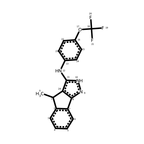 CC1c2ccccc2-c2n[nH]c(Nc3ccc(OC(F)(F)F)cc3)c21